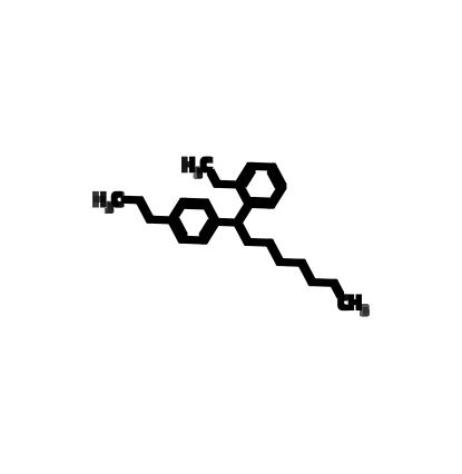 CCCCCCCC(c1ccc(CCC)cc1)c1ccccc1CC